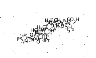 CC(C)C1=C2[C@H]3CC[C@@H]4[C@@]5(C)CC[C@H](OC(=O)CC(C)(C)C(=O)O)C(C)(C)[C@@H]5CC[C@@]4(C)[C@]3(C)CC[C@@]2([C@@H](O)c2nnc(-c3ccc(F)cn3)o2)CC1=O